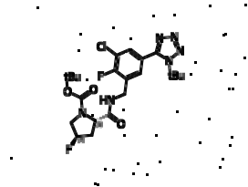 CC(C)(C)OC(=O)N1C[C@H](F)C[C@H]1C(=O)NCc1cc(-c2nnnn2C(C)(C)C)cc(Cl)c1F